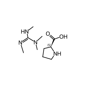 CN=C(NC)N(C)C.O=C(O)[C@@H]1CCCN1